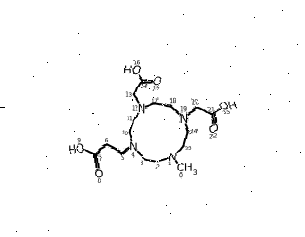 CN1CCN(CCC(=O)O)CCN(CC(=O)O)CCN(CC(=O)O)CC1